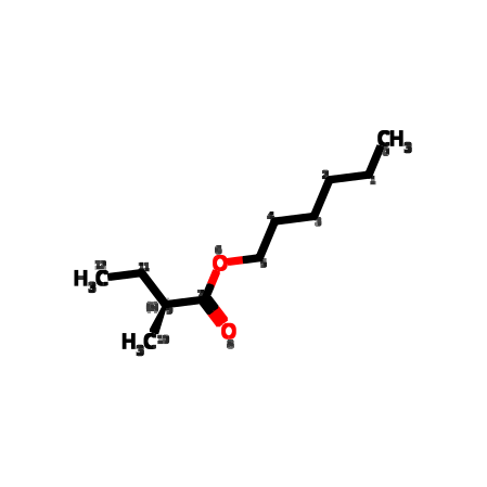 CCCCCCOC(=O)[C@@H](C)CC